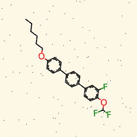 CCCCCCOc1ccc(-c2ccc(-c3ccc(OC(F)F)c(F)c3)cc2)cc1